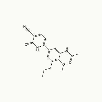 CCCc1cc(-c2ccc(C#N)c(=O)[nH]2)cc(NC(C)=O)c1OC